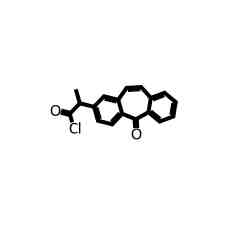 CC(C(=O)Cl)c1ccc2c(=O)c3ccccc3ccc2c1